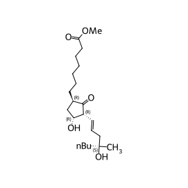 CCCC[C@](C)(O)CC=C[C@H]1C(=O)[C@H](CCCCCCC(=O)OC)C[C@H]1O